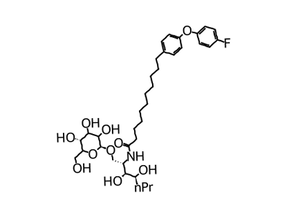 CCC[C@H](O)[C@@H](O)[C@H](CO[C@H]1OC(CO)[C@H](O)C(O)C1O)NC(=O)CCCCCCCCCCc1ccc(Oc2ccc(F)cc2)cc1